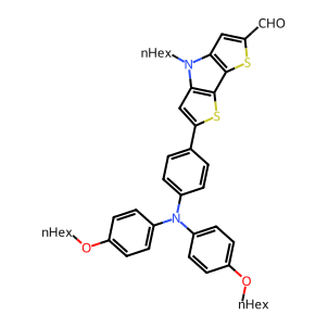 CCCCCCOc1ccc(N(c2ccc(OCCCCCC)cc2)c2ccc(-c3cc4c(s3)c3sc(C=O)cc3n4CCCCCC)cc2)cc1